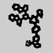 CC1(C)c2ccccc2-c2ccc(-c3ccc(-c4nc(-c5ccccc5)nc(-c5cc(-c6cccc7c6sc6ccccc67)cc(-c6cccc7c6sc6ccccc67)c5)n4)cc3)cc21